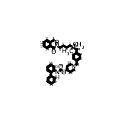 C[N+](C)(CCCCN1OCc2ccccc2C1=O)Cc1ccc(CN2CCC(OC(=O)Nc3ccccc3-c3ccccc3)CC2)cc1